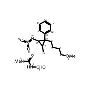 CNC(=S)NC=O.COCCCCC1(c2ccccc2)C(C)C1N=S(=O)=O